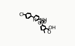 Cc1ccc(S(=O)(=O)Nc2ccc(-c3ccc(Cl)cc3)nc2)cc1C(=O)O